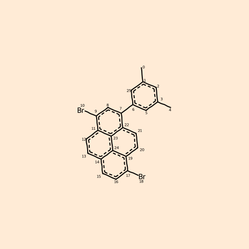 Cc1cc(C)cc(-c2cc(Br)c3ccc4ccc(Br)c5ccc2c3c45)c1